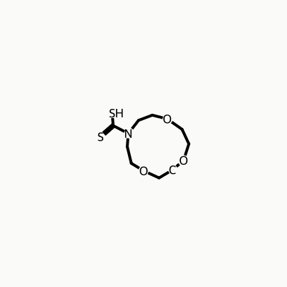 S=C(S)N1CCOCCOCCOCC1